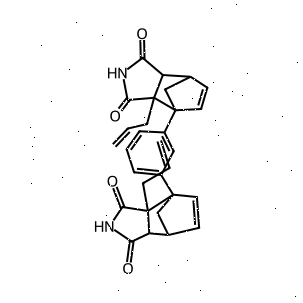 C=CCC12C(=O)NC(=O)C1C1C=CC2(c2cccc(C34C=CC(C3)C3C(=O)NC(=O)C34CC=C)c2)C1